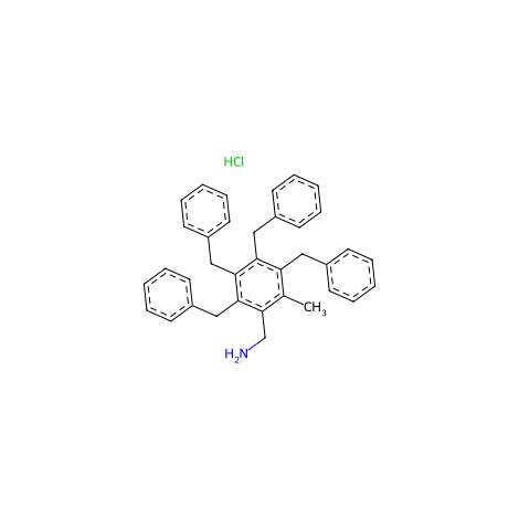 Cc1c(CN)c(Cc2ccccc2)c(Cc2ccccc2)c(Cc2ccccc2)c1Cc1ccccc1.Cl